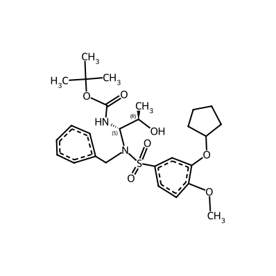 COc1ccc(S(=O)(=O)N(Cc2ccccc2)[C@H](NC(=O)OC(C)(C)C)[C@@H](C)O)cc1OC1CCCC1